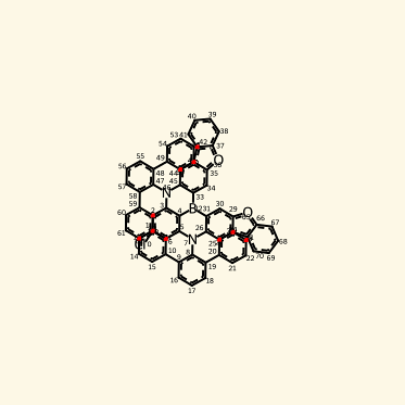 Clc1cc2c3c(c1)N(c1c(-c4ccccc4)cccc1-c1ccccc1)c1cc4c(cc1B3c1cc3oc5ccccc5c3cc1N2c1c(-c2ccccc2)cccc1-c1ccccc1)oc1ccccc14